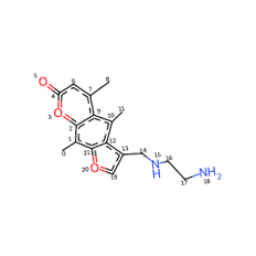 Cc1c2oc(=O)cc(C)c2c(C)c2c(CNCCN)coc12